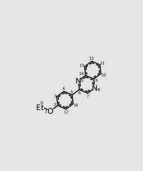 CCOc1ccc(-c2[c]nc3ccccc3n2)cc1